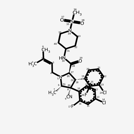 CC(C)=CCN1[C@@H](C)[C@](C#N)(c2ccc(Cl)cc2F)[C@@H](c2cccc(Cl)c2F)[C@@H]1C(=O)NC1CCN(S(C)(=O)=O)CC1